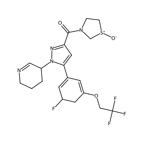 O=C(c1cc(C2=CC(F)CC(OCC(F)(F)F)=C2)n(C2C=NCCC2)n1)N1CC[S+]([O-])C1